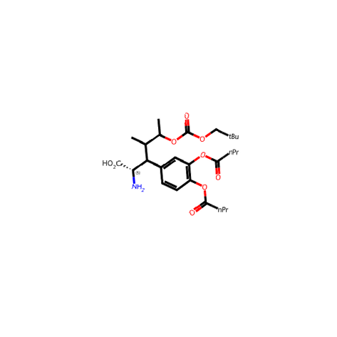 CCCC(=O)Oc1ccc(C(C(C)C(C)OC(=O)OCC(C)(C)C)[C@H](N)C(=O)O)cc1OC(=O)CCC